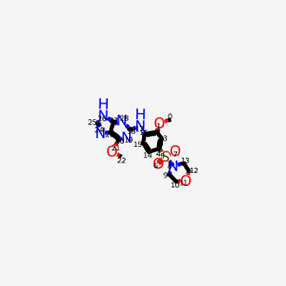 COc1cc(S(=O)(=O)N2CCOCC2)ccc1Nc1nc(OC)c2nc[nH]c2n1